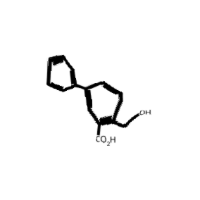 O=C(O)c1cc(-c2ccccc2)ccc1CO